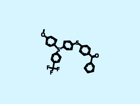 COc1ccc([S+](c2ccc(Sc3ccc(C(=O)c4ccccc4)cc3)cc2)c2ccc(C(F)(F)F)cc2)cc1